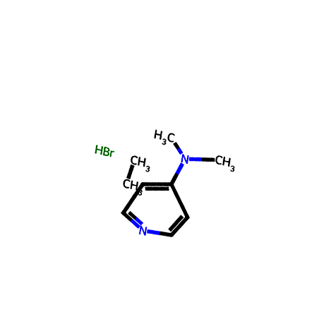 Br.CC.CN(C)c1ccncc1